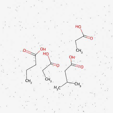 CC(C)CC(=O)O.CCC(=O)O.CCC(=O)O.CCCC(=O)O